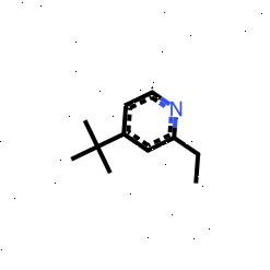 CCc1cc(C(C)(C)C)c[c]n1